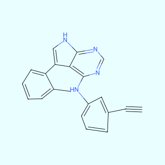 C#Cc1cccc(Nc2ncnc3[nH]cc(-c4ccccc4C)c23)c1